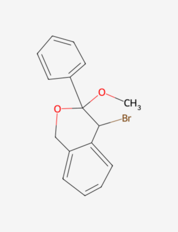 COC1(c2ccccc2)OCc2ccccc2C1Br